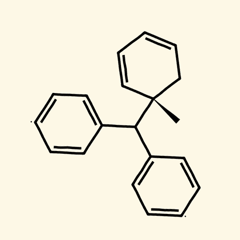 C[C@@]1(C(c2cc[c]cc2)c2cc[c]cc2)C=CC=CC1